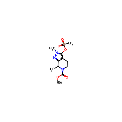 CC1c2nn(C)c(OS(=O)(=O)C(F)(F)F)c2CCN1C(=O)OC(C)(C)C